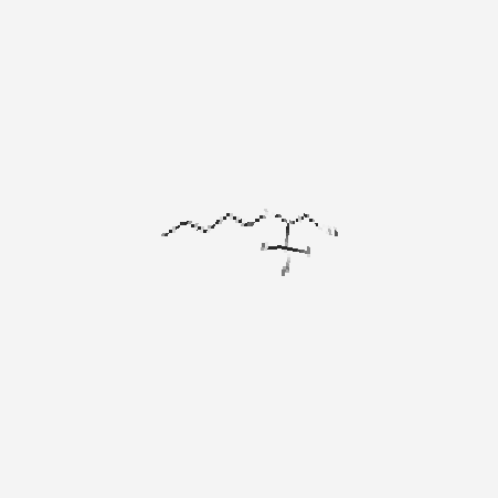 CCCCCOC(CO)C(F)(F)F